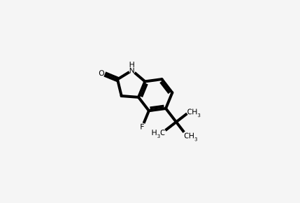 CC(C)(C)c1ccc2c(c1F)CC(=O)N2